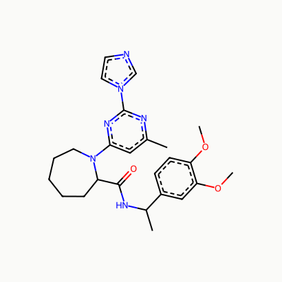 COc1ccc(C(C)NC(=O)C2CCCCCN2c2cc(C)nc(-n3ccnc3)n2)cc1OC